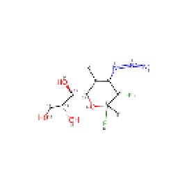 CC1C(N=[N+]=[N-])C(F)C(C)(F)OC1[C@H](O)[C@H](O)CO